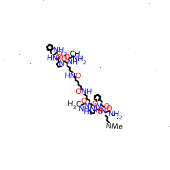 CNCCCC[C@H](NC(=O)[C@H](Cc1ccccc1)NC(=O)[C@@H]1CCCN1C(=O)[C@H](CCCCNC(=O)CCCCC(=O)NCCCC[C@H](NC(=O)[C@H](C)N)C(=O)N1CCCC1C(=O)N[C@@H](Cc1ccccc1)C(N)=O)NC(=O)[C@H](C)N)C(N)=O